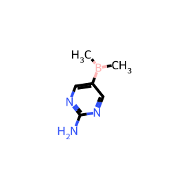 CB(C)c1cnc(N)nc1